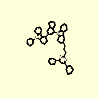 c1ccc(-c2cc(-c3ccccc3)nc(CCCc3ccc4c(c3)c3ccccc3n4-c3cc(-c4cccc5c4c4ccccc4n5-c4ccccc4)cc4ccccc34)n2)cc1